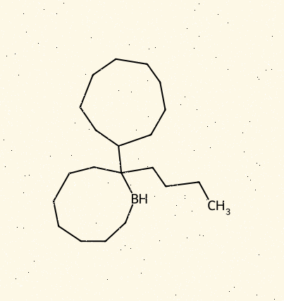 CCCCC1(C2CCCCCCCC2)BCCCCCCC1